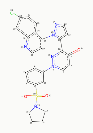 O=c1ccn(-c2cccc(S(=O)(=O)N3CCCC3)c2)nc1-c1ccnn1-c1ccnc2cc(Cl)ccc12